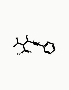 CC(C)C(C(=O)O)C(C)C#Cc1ccccc1